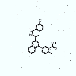 Cc1ccc(-c2cc(C(C)N[C@H](C)c3cccc(Cl)c3)cc3ccccc23)cc1C(=O)O